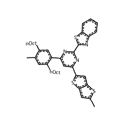 CCCCCCCCc1cc(-c2cc(-c3cc4sc(C)cc4s3)nc(-c3nc4ccccc4s3)n2)c(CCCCCCCC)cc1C